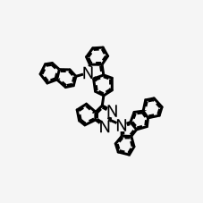 c1ccc2cc(-n3c4ccccc4c4ccc(-c5nc(-n6c7ccccc7c7cc8ccccc8cc76)nc6ccccc56)cc43)ccc2c1